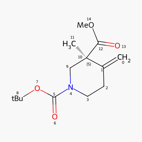 C=C1CCN(C(=O)OC(C)(C)C)C[C@@]1(C)C(=O)OC